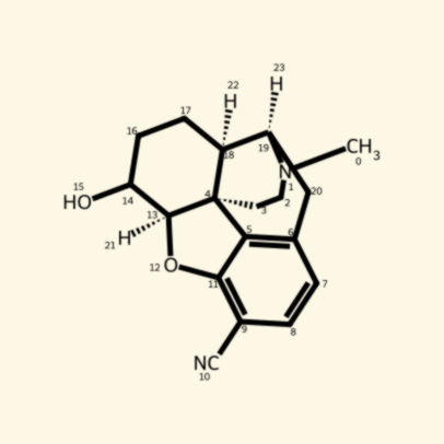 CN1CC[C@]23c4c5ccc(C#N)c4O[C@H]2C(O)CC[C@H]3[C@H]1C5